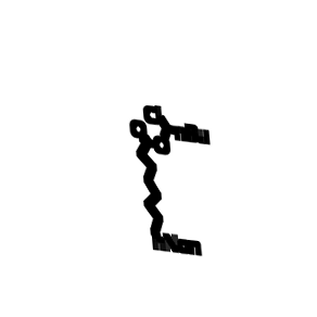 CCCCCCCCCCCCCCCCC(=O)OC(Cl)CCCC